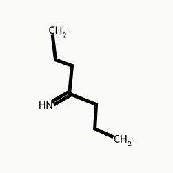 [CH2]CCC(=N)CC[CH2]